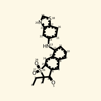 CCC1(C)C(=O)c2cc3cccc(Nc4ccc5scnc5c4)c3cc2S1(=O)=O